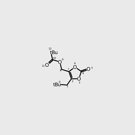 CC(C)(C)Cc1oc(=O)oc1COC(=O)C(C)(C)C